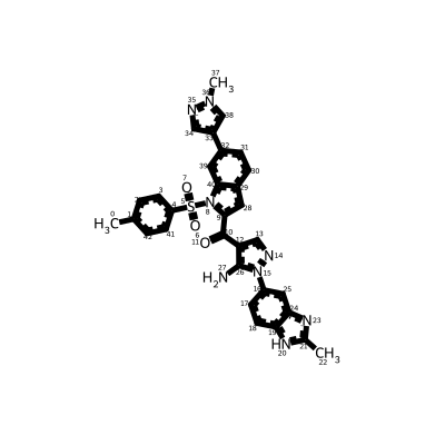 Cc1ccc(S(=O)(=O)n2c(C(=O)c3cnn(-c4ccc5[nH]c(C)nc5c4)c3N)cc3ccc(-c4cnn(C)c4)cc32)cc1